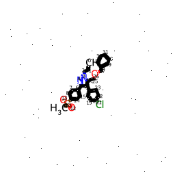 C=CCn1nc(-c2ccc(S(C)(=O)=O)cc2)c(-c2ccc(Cl)cc2)c1COCc1ccccc1